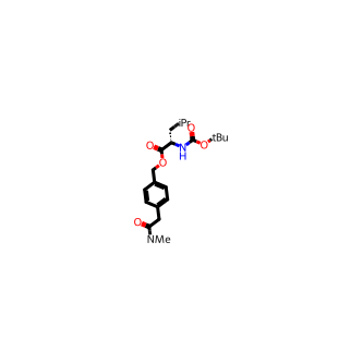 [CH2]NC(=O)Cc1ccc(COC(=O)[C@H](CC(C)C)NC(=O)OC(C)(C)C)cc1